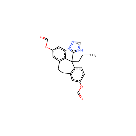 CCCC1(c2nnc[nH]2)c2ccc(OC=O)cc2CCc2cc(OC=O)ccc21